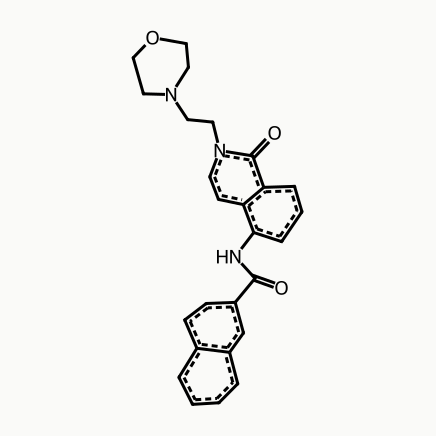 O=C(Nc1cccc2c(=O)n(CCN3CCOCC3)ccc12)c1ccc2ccccc2c1